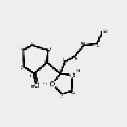 O=C1CCCCC1C1(CCCCI)OCCO1